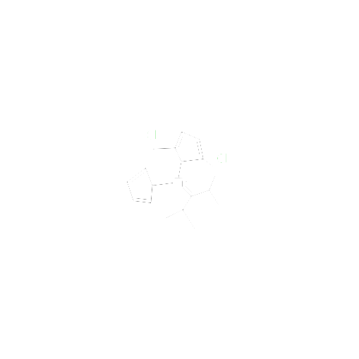 CC1=CC=C(C)[CH]1[Ti+2](=[C](C(C)C)C(C)C)[CH]1C=CC=C1.[Cl-].[Cl-]